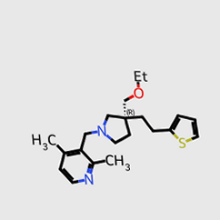 CCOC[C@]1(CCc2cccs2)CCN(Cc2c(C)ccnc2C)C1